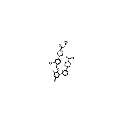 Cc1cc(C2CCN(C(=O)CC3CC3)CC2)ccc1COc1c(F)cc(F)cc1-c1cccc(N2CCC(C(=O)O)CC2)n1